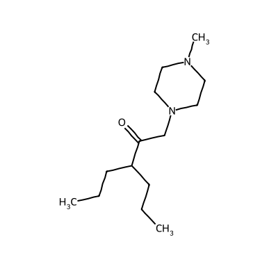 CCCC(CCC)C(=O)CN1CCN(C)CC1